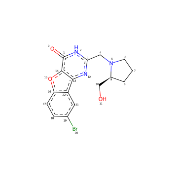 O=c1[nH]c(CN2CCC[C@H]2CO)nc2c1oc1ccc(Br)cc12